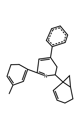 CC1=CCCC(C2=NC(C34C=CCCC3C4)CC(c3ccccc3)=C2)=C1